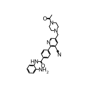 CC(=O)N1CCN(Cc2cnc(-c3ccc(C(=O)Nc4ccccc4N)cc3)c(C#N)c2)CC1